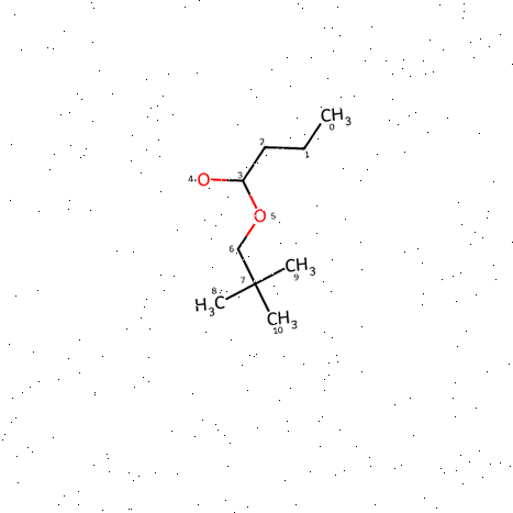 CCCC([O])OCC(C)(C)C